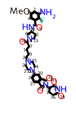 COc1cc(N)c(F)c(C(=O)N[C@@H]2CCN(C(=O)CCCCN3CCN(c4ccc5c(c4)C(=O)N(C4CCC(=O)NC4=O)C5=O)CC3)C2)c1